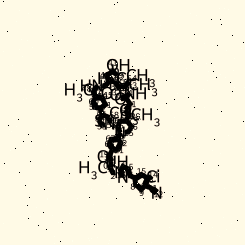 CC(Cn1ccc(-c2ccc(C#N)c(Cl)c2)n1)NC(=O)c1ccc(N2CCC(C(C)OCC(=O)N[C@H](C(=O)N3C[C@H](O)CC3C(=O)N[C@@H](C)C3=CCC(C4SC=NC4C)C=C3)C(C)(C)C)CC2)cc1